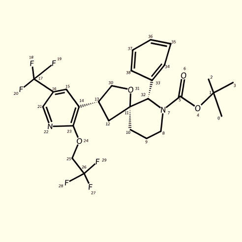 CC(C)(C)OC(=O)N1CCC[C@@]2(C[C@H](c3cc(C(F)(F)F)cnc3OCC(F)(F)F)CO2)[C@@H]1c1ccccc1